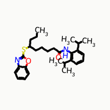 CCCC(CCCCC(=O)Nc1c(C(C)C)cccc1C(C)C)Sc1nc2ccccc2o1